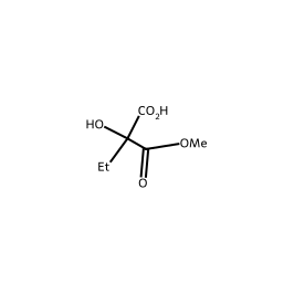 CCC(O)(C(=O)O)C(=O)OC